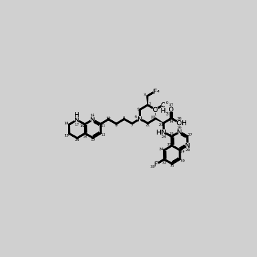 CO[C@H](CF)CN(CCCCc1ccc2c(n1)NCCC2)CC[C@H](Nc1ncnc2ccc(F)cc12)C(=O)O